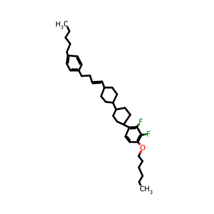 CCCCCCOc1ccc(C2CCC(C3CCC(/C=C/CCc4ccc(CCCCC)cc4)CC3)CC2)c(F)c1F